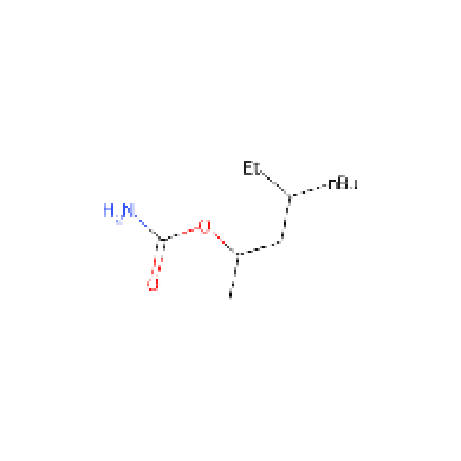 CCCCC(CC)CC(C)OC(N)=O